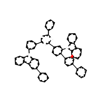 c1ccc(-c2ccc(-c3ccc(-c4nc(-c5ccccc5)nc(-c5cccc(-n6c7ccccc7c7cc(-c8ccccc8)ccc76)c5)n4)cc3-n3c4ccccc4c4ccccc43)cc2)cc1